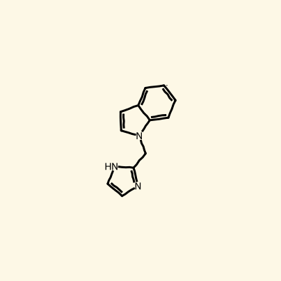 [c]1ccc2c(c1)ccn2Cc1ncc[nH]1